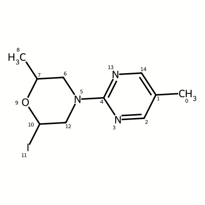 Cc1cnc(N2CC(C)OC(I)C2)nc1